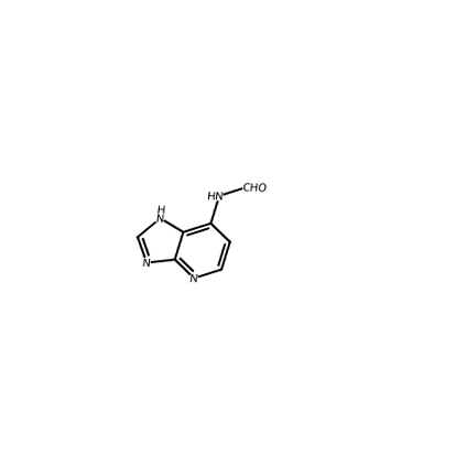 O=CNc1ccnc2nc[nH]c12